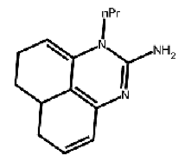 CCCN1C2=CCCC3CC=CC(=C23)N=C1N